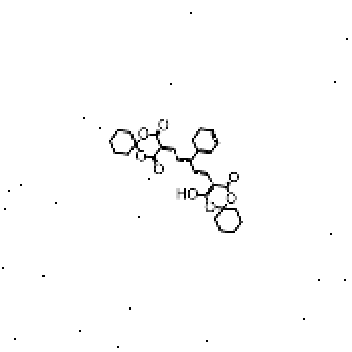 O=C1OC2(CCCCC2)OC(=O)C1=C/C=C(/C=C/C1=C(O)OC2(CCCCC2)OC1=O)C1=CC=CCC1